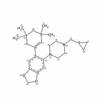 CC1(C)C=C(c2cc3c(cc2N2CCN(CC4CC4)CC2)OCO3)CC(C)(C)C1